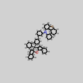 c1ccc(N(c2cccc(-c3ccc4c(c3)-c3ccccc3C43c4ccc5ccccc5c4Oc4c3ccc3ccccc43)c2)c2cccc3sc4ccccc4c23)cc1